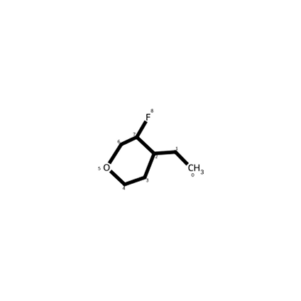 CCC1CCOCC1F